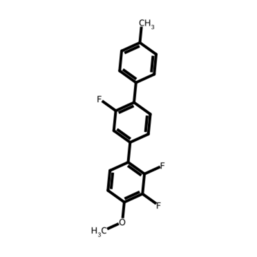 COc1ccc(-c2ccc(-c3ccc(C)cc3)c(F)c2)c(F)c1F